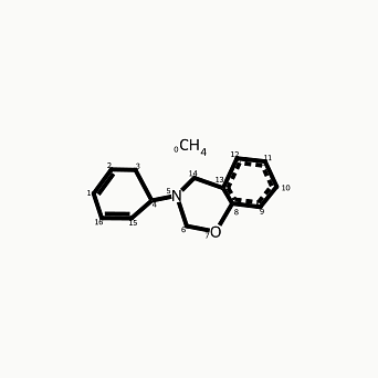 C.C1=CCC(N2COc3ccccc3C2)C=C1